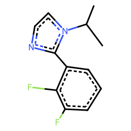 CC(C)n1ccnc1-c1cccc(F)c1F